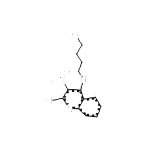 O=[N+]([O-])c1c(Cl)nc2ccccc2c1NCCCCO